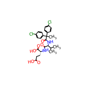 CC(C)[C@H](NC(=O)C(C)(c1ccc(Cl)cc1)c1ccc(Cl)cc1)C(=O)N[C@H](CCC(=O)O)C(=O)O